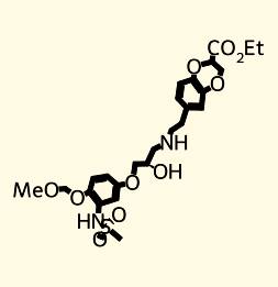 CCOC(=O)C1COc2cc(CCNC[C@H](O)COc3ccc(OCOC)c(NS(C)(=O)=O)c3)ccc2O1